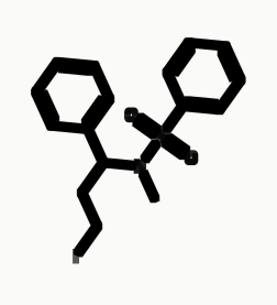 CN(C(CCI)c1ccccc1)S(=O)(=O)c1ccccc1